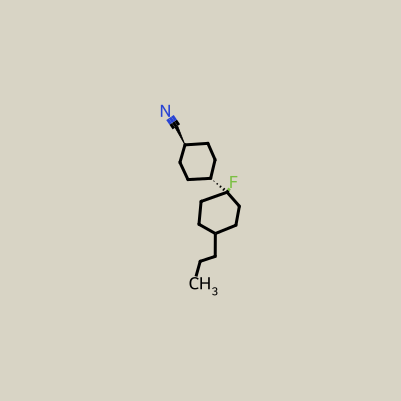 CCCC1CCC(F)([C@H]2CC[C@H](C#N)CC2)CC1